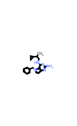 CC(CNc1nc(N)nc2ccn(Cc3ccccc3)c12)C1CC1